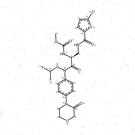 COC(=O)N[C@@H](CNC(=O)c1ccc(Cl)s1)C(=O)N(OC(F)F)c1ccc(N2CCOCC2=O)cc1